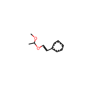 COC(C)OC=Cc1ccccc1